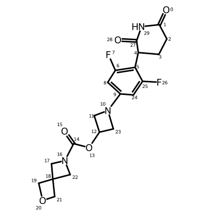 O=C1CCC(c2c(F)cc(N3CC(OC(=O)N4CC5(COC5)C4)C3)cc2F)C(=O)N1